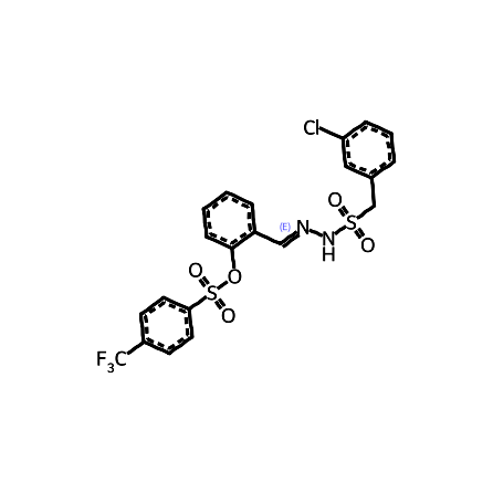 O=S(=O)(Cc1cccc(Cl)c1)N/N=C/c1ccccc1OS(=O)(=O)c1ccc(C(F)(F)F)cc1